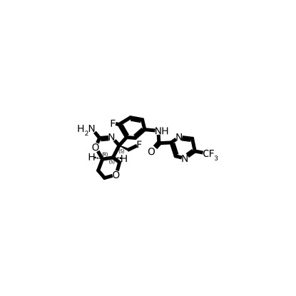 NC1=N[C@](CF)(c2cc(NC(=O)c3cnc(C(F)(F)F)cn3)ccc2F)[C@H]2COCC[C@H]2O1